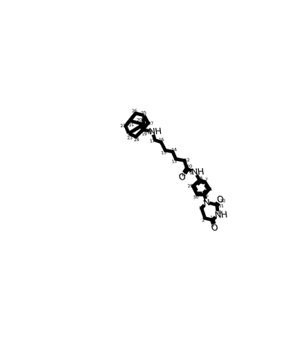 O=C1CCN(c2ccc(NC(=O)CCCCCCNC34CC5CC(CC(C5)C3)C4)cc2)C(=O)N1